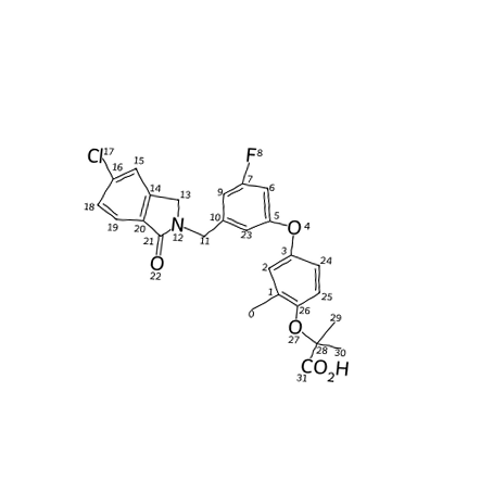 Cc1cc(Oc2cc(F)cc(CN3Cc4cc(Cl)ccc4C3=O)c2)ccc1OC(C)(C)C(=O)O